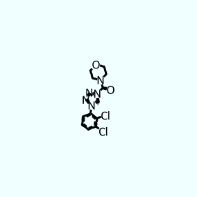 O=C(N1CCOCC1)n1c[n+](-c2cccc(Cl)c2Cl)nn1